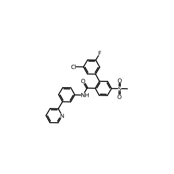 CS(=O)(=O)c1ccc(C(=O)Nc2cccc(-c3ccccn3)c2)c(-c2cc(F)cc(Cl)c2)c1